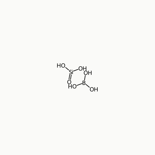 O=[Si](O)O.OB(O)O